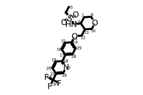 CCS(=O)(=O)NC1CCOCC1COc1ccc(-c2ccc(C(F)(F)F)cn2)cc1